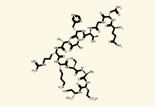 CC[C@H](C)[C@H](NC(=O)[C@H](CS)NC(=O)[C@H](CCCCN)NC(=O)[C@H](CCCNC(=N)N)NC(=O)[C@@H](NC(=O)[C@@H](NC(=O)[C@H](Cc1c[nH]cn1)NC(=O)[C@@H](NC(=O)CNC(=O)[C@H](CC(N)=O)NC(=O)[C@@H](N)CCC(N)=O)[C@@H](C)O)C(C)C)C(C)C)C(=O)N[C@@H](CCC(=O)O)C(=O)N[C@@H](CS)C(=O)O